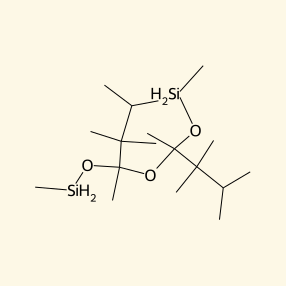 C[SiH2]OC(C)(OC(C)(O[SiH2]C)C(C)(C)C(C)C)C(C)(C)C(C)C